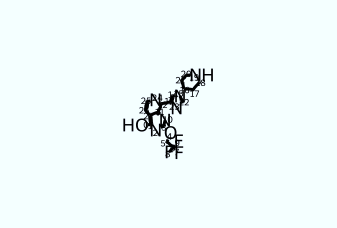 Oc1nc(OCC(F)(F)F)nc2c(-c3cn(C4CCNCC4)cn3)nccc12